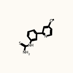 COc1ccnc(-c2cccc(NC(N)=S)c2)c1